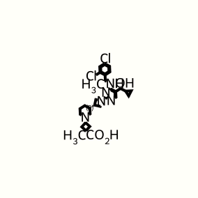 CC(Nc1nc(N2CC([C@H]3CCCN(C4CC(C)(C(=O)O)C4)C3)C2)ncc1C(O)C1CC1)c1ccc(Cl)cc1Cl